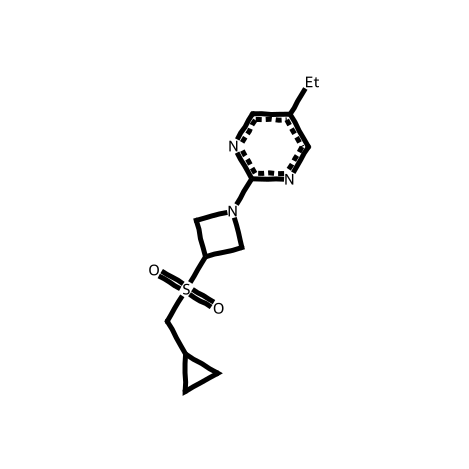 CCc1cnc(N2CC(S(=O)(=O)CC3CC3)C2)nc1